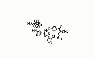 C[C@H]1COCCN1c1nc(Oc2ccc(C(=O)N(C)C)cc2)nc(-c2cnc(NC(=O)OC(C)(C)C)s2)n1